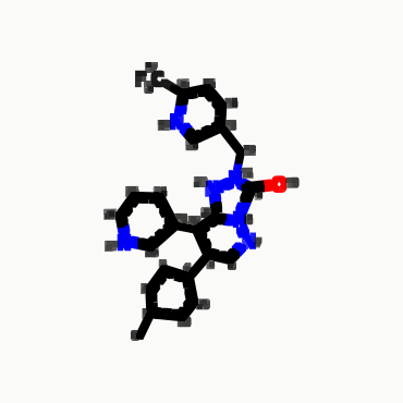 Cc1ccc(-c2cnn3c(=O)n(Cc4ccc(C(F)(F)F)nc4)nc3c2-c2cccnc2)cc1